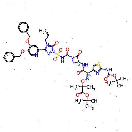 C=CCn1c(-c2cc(OCc3ccccc3)c(OCc3ccccc3)cn2)nn(S(=O)(=O)NC(=O)N2C[C@H](NC(=O)/C(=N\OC(C)(C)C(=O)OC(C)(C)C)c3csc(NC(=O)OC(C)(C)C)n3)C2=O)c1=O